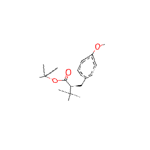 COc1ccc(C[C@H](C(=O)OC(C)(C)C)C(C)(C)C)cc1